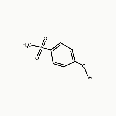 CC(C)Oc1[c]cc(S(C)(=O)=O)cc1